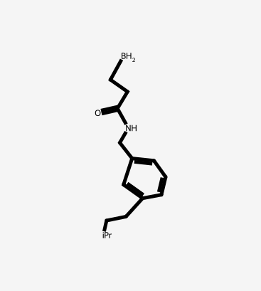 BCCC(=O)NCc1cccc(CCC(C)C)c1